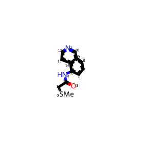 CSCC(=O)Nc1cccc2cnccc12